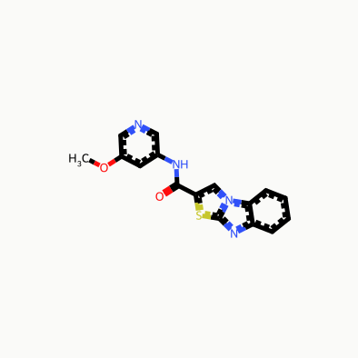 COc1cncc(NC(=O)c2cn3c(nc4ccccc43)s2)c1